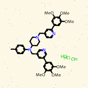 COc1cc(-c2cncc(CN(c3ccc(C)cc3)C3CCN(Cc4ccnc(-c5cc(OC)c(OC)c(OC)c5)c4)CC3)c2)cc(OC)c1OC.Cl.Cl.Cl